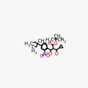 CCC(C)(CC)c1ccc(C(=O)C(C(=O)OC(C)(C)C)C(=O)C2CC2)c([N+](=O)[O-])c1